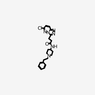 O=C(CCc1nnc2ccc(Cl)nn12)NC1CCN(CCc2ccccc2)CC1